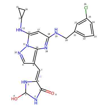 O=C1NC(O)N/C1=C\c1cnn2c(NC3CC3)cc(NCc3cccc(Cl)c3)nc12